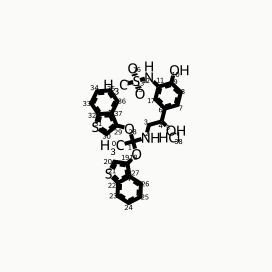 CC(NCC(O)c1ccc(O)c(NS(C)(=O)=O)c1)(Oc1csc2ccccc12)Oc1csc2ccccc12.Cl